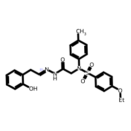 CCOc1ccc(S(=O)(=O)N(CC(=O)N/N=C/Cc2ccccc2O)c2ccc(C)cc2)cc1